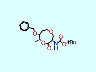 C[C@@H]1OC(=O)[C@@H](NC(=O)OC(C)(C)C)COCC[C@H]1OCc1ccccc1